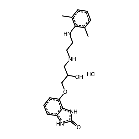 Cc1cccc(C)c1NCCNCC(O)COc1cccc2[nH]c(=O)[nH]c12.Cl